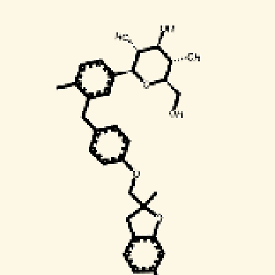 Cc1ccc2c(c1)OC(C)(COc1ccc(Cc3cc([C@@H]4O[C@H](CO)[C@@H](O)[C@H](O)[C@H]4O)ccc3C)cc1)C2